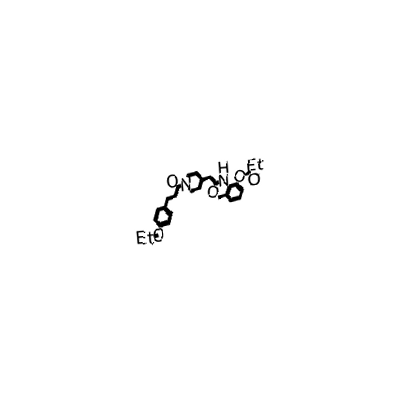 CCOc1ccc(CCC(=O)N2CCC(CC(=O)Nc3c(C)cccc3OC(=O)CC)CC2)cc1